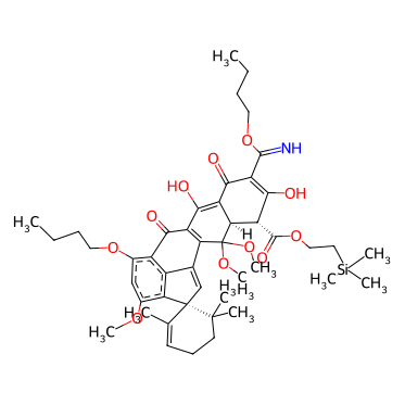 CCCCOC(=N)C1=C(O)[C@H](C(=O)OCC[Si](C)(C)C)[C@@H]2C(=C(O)C3=C(C4=C[C@@]5(C(C)=CCCC5(C)C)c5c(OC)cc(OCCCC)c(c54)C3=O)C2(OC)OC)C1=O